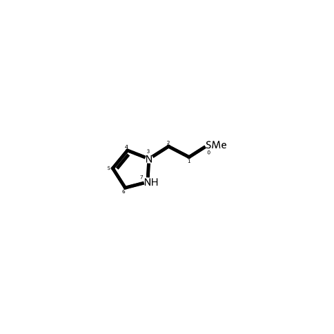 CSCCN1C=CCN1